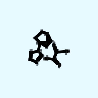 O=C(O)C(=O)O.c1ncn(C23CCN(CC2)C3)n1